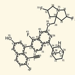 C#Cc1c(F)ccc2cc(O)cc(-c3ncc4c(N5CC6CCC5CN6)nc(OCC56CC(F)CN5CC(F)C6)nc4c3F)c12